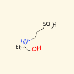 CCC(CO)NCCCS(=O)(=O)O